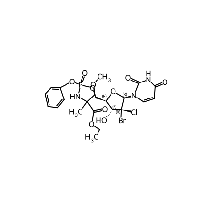 CCOC(=O)C(C)(COC)NP(=O)(OC[C@H]1O[C@@H](n2ccc(=O)[nH]c2=O)[C@](Cl)(Br)[C@@H]1O)Oc1ccccc1